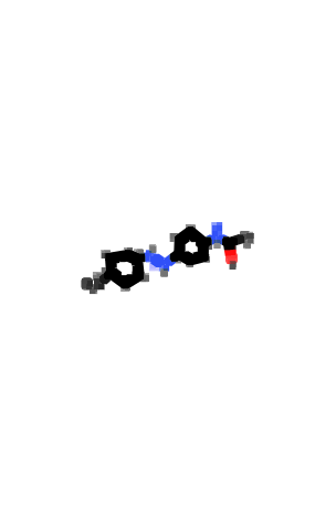 CCC(=O)Nc1ccc(/N=N/c2ccc([N+](=O)[O-])cc2)cc1